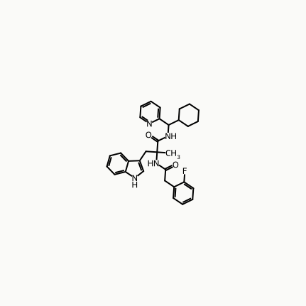 CC(Cc1c[nH]c2ccccc12)(NC(=O)Cc1ccccc1F)C(=O)NC(c1ccccn1)C1CCCCC1